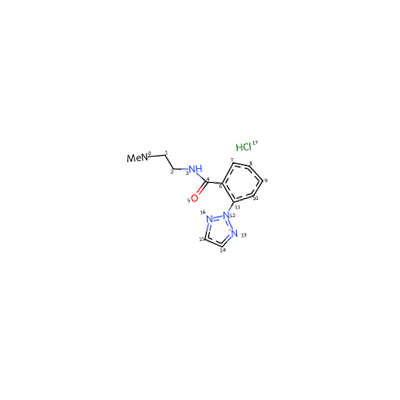 CNCCNC(=O)c1ccccc1-n1nccn1.Cl